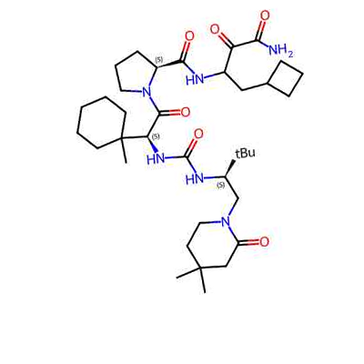 CC1(C)CCN(C[C@@H](NC(=O)N[C@H](C(=O)N2CCC[C@H]2C(=O)NC(CC2CCC2)C(=O)C(N)=O)C2(C)CCCCC2)C(C)(C)C)C(=O)C1